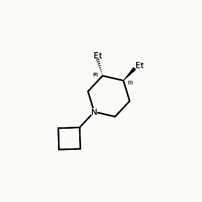 CC[C@H]1CCN(C2CCC2)C[C@@H]1CC